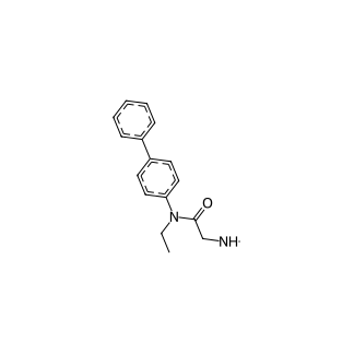 CCN(C(=O)C[NH])c1ccc(-c2ccccc2)cc1